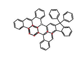 c1ccc(C2(c3ccccc3)c3ccccc3-c3ccc(N(c4ccccc4-c4cccc5ccccc45)c4ccccc4-c4cc5ccccc5c5ccccc45)cc32)cc1